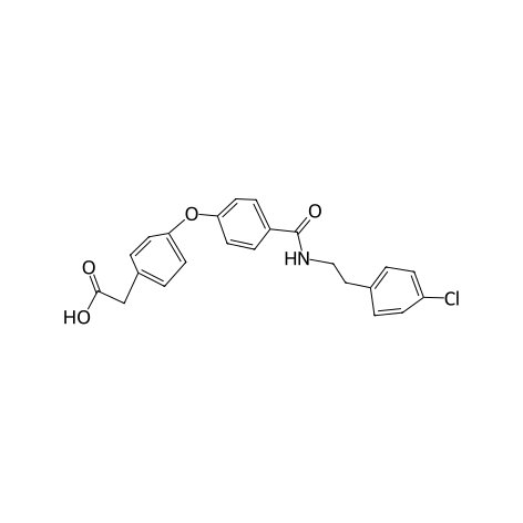 O=C(O)Cc1ccc(Oc2ccc(C(=O)NCCc3ccc(Cl)cc3)cc2)cc1